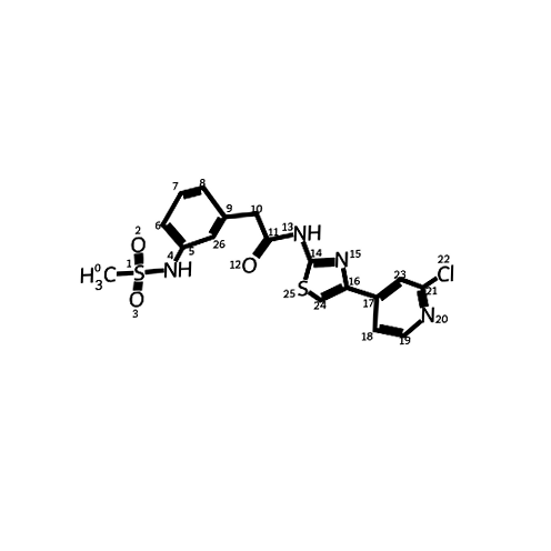 CS(=O)(=O)Nc1cccc(CC(=O)Nc2nc(-c3ccnc(Cl)c3)cs2)c1